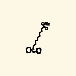 COC(=O)CCCCCCCCCC[N+]1(Cc2ccccc2)CCCCC1